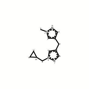 Cn1cc(Cc2cnn(CC3CC3)c2)cn1